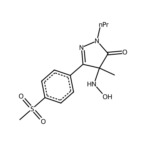 CCCN1N=C(c2ccc(S(C)(=O)=O)cc2)C(C)(NO)C1=O